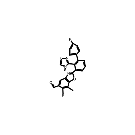 Cc1c(F)c(C=O)cc2nc(-c3cccc(-c4ccc(F)cc4)c3-c3nncn3C)oc12